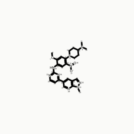 COc1cc(N2CCC(N(C)C)CC2)c([N+](=O)[O-])cc1Nc1nccc(-c2cnc3c(cnn3C)c2)n1